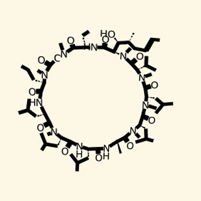 C/C=C/C[C@@H](C)[C@@H](O)[C@H]1C(=O)N[C@@H](CC)C(=O)N(C)CC(=O)N(C)[C@@H](CCC)C(=O)N[C@@H](CC(C)C)C(=O)N(C)[C@@H](CC(C)C)C(=O)N[C@@H](CC(C)C)C(=O)N[C@H](C)C(=O)N(C)[C@@H](CC(C)C)C(=O)N(C)[C@@H](CC(C)C)C(=O)N(C)[C@@H](C(C)C)C(=O)N1C